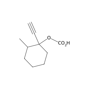 C#CC1(OC(=O)O)CCCCC1C